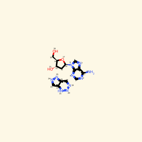 Nc1ncnc2c1ncn2[C@H]1C[C@H](O)[C@@H](CO)O1.c1nn[nH]c2cnnc1-2